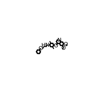 COc1cc2nccc(Oc3cc(C)c(NCCCOc4ccccc4)cc3C)c2cc1OC